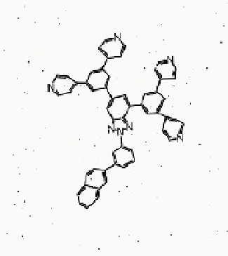 c1cc(-c2ccc3ccccc3c2)cc(-n2nc3cc(-c4cc(-c5ccncc5)cc(-c5ccncc5)c4)cc(-c4cc(-c5ccncc5)cc(-c5ccncc5)c4)c3n2)c1